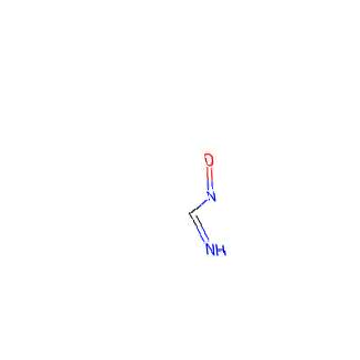 N=CN=O